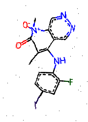 CC1=C(Nc2ccc(I)cc2F)c2cnncc2[N+](C)([O-])C1=O